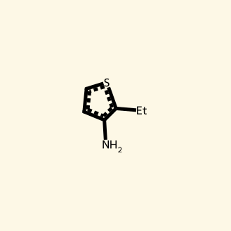 [CH2]Cc1sccc1N